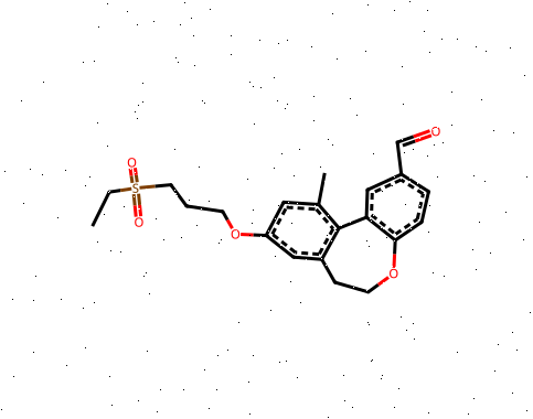 CCS(=O)(=O)CCCOc1cc(C)c2c(c1)CCOc1ccc(C=O)cc1-2